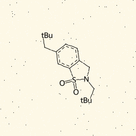 CC(C)(C)Cc1ccc2c(c1)S(=O)(=O)N(CC(C)(C)C)C2